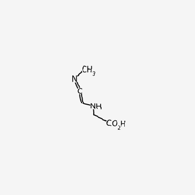 CN=C=CNCC(=O)O